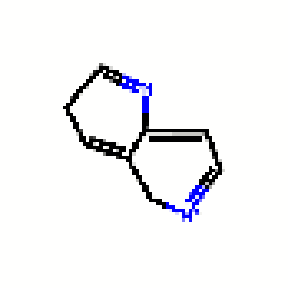 C1=NC2=CC=[N+]CC2=CC1